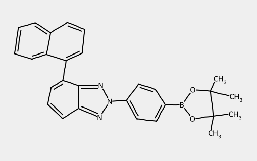 CC1(C)OB(c2ccc(-n3nc4cccc(-c5cccc6ccccc56)c4n3)cc2)OC1(C)C